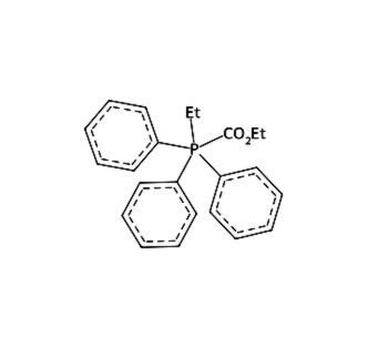 CCOC(=O)P(CC)(c1ccccc1)(c1ccccc1)c1ccccc1